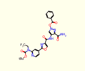 CC(C)(C)OC(=O)N(CC(F)(F)F)c1cc(-c2nc(C(=O)Nc3cn(OC(=O)c4ccccc4)nc3C(N)=O)co2)ccn1